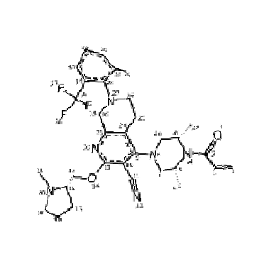 C=CC(=O)N1[C@H](C)CN(c2c(C#N)c(OC[C@@H]3CCCN3C)nc3c2CCN(c2c(C)cccc2C(F)(F)F)C3)C[C@@H]1C